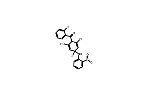 O=C(c1ccccc1Cl)C1C(O)=CC(Cl)(Nc2ccccc2[N+](=O)[O-])C=C1Cl